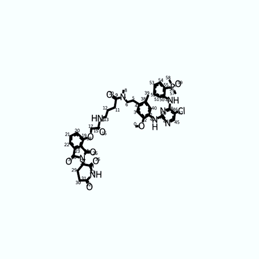 COc1cc(CCN(C)C(=O)CCCNC(=O)COc2cccc3c2C(=O)N(C2CCC(=O)NC2=O)C3=O)c(C)cc1Nc1ncc(Cl)c(Nc2ccccc2P(C)(C)=O)n1